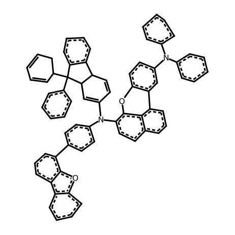 C1=CCC(C2(c3ccccc3)c3ccccc3C3C=CC(N(c4ccc(-c5cccc6c5oc5ccccc56)cc4)c4ccc5cccc6c5c4Oc4ccc(N(c5ccccc5)c5ccccc5)cc4-6)=CC32)C=C1